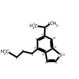 CCCCc1cc(C(C)C)cc2sccc12